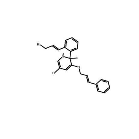 ClC1=CNC(I)(c2ccccc2C=CCBr)C(OCC=Cc2ccccc2)=C1